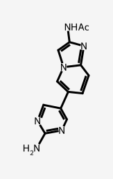 CC(=O)Nc1cn2cc(-c3cnc(N)nc3)ccc2n1